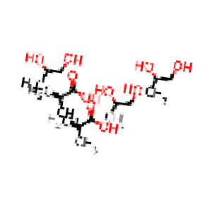 C=C(C)C(=O)O.C=C(C)C(=O)O.CC(O)CO.CC(O)CO.CC(O)CO